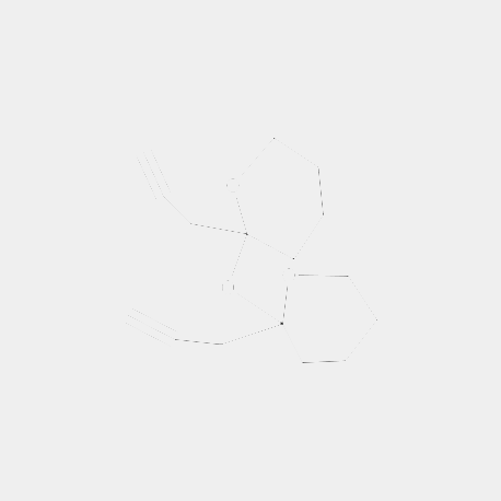 C#CCC1(OC2(CC#C)CCCCO2)CCCCO1